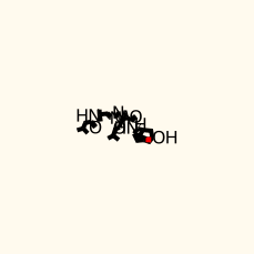 CC(C)COc1c(C(=O)N[C@H]2C3CC4CC2C[C@](O)(C4)C3)cnn1/C=C/C(C)(C)NC(=O)CC(C)C